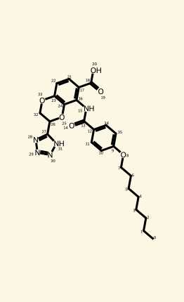 CCCCCCCCOc1ccc(C(=O)Nc2c(C(=O)O)ccc3c2OC(c2nnn[nH]2)CO3)cc1